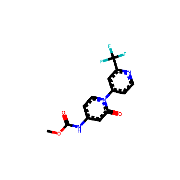 COC(=O)Nc1ccn(-c2ccnc(C(F)(F)F)c2)c(=O)c1